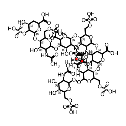 CC(=O)NC1C(OOC2OC(COS(=O)(=O)O)[C@@H](O[C@@H]3OC(C(=O)O)[C@@H](OC4OC(COS(=O)(=O)O)[C@@H](O[C@@H]5OC(C(=O)O)[C@@H](OC6OC(COS(=O)(=O)O)[C@@H](O[C@@H]7OC(C(=O)O)C[C@H](O)C7OS(=O)(=O)O)[C@H](O)C6NC(C)=O)[C@H](O)C5OS(=O)(=O)O)[C@H](O)C4NC(C)=O)[C@H](O)C3OS(=O)(=O)O)[C@H](O)C2NC(C)=O)OC(COS(=O)(=O)O)[C@@H](O)[C@@H]1O